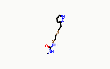 CNC(=O)NSCCSCCc1cccnn1